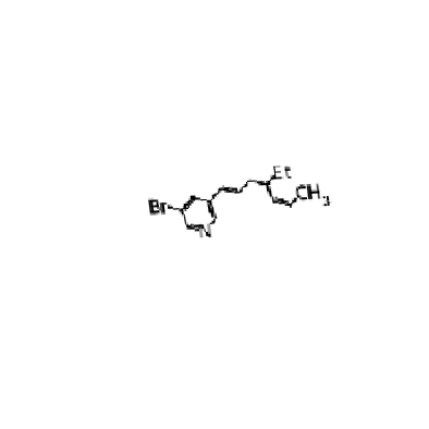 C/C=C\C(CC)C/C=C/c1cncc(Br)c1